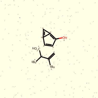 C=C(C(C(=O)O)C(C)(C)C)C(C)(C)C.Oc1ccc2cc1-2